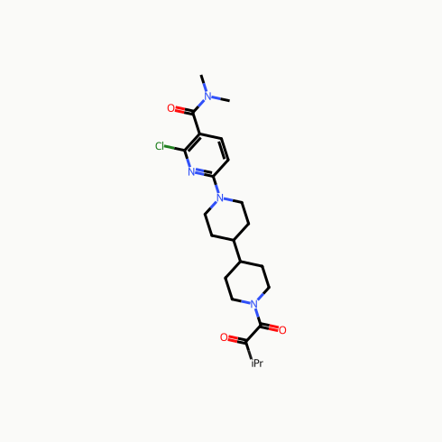 CC(C)C(=O)C(=O)N1CCC(C2CCN(c3ccc(C(=O)N(C)C)c(Cl)n3)CC2)CC1